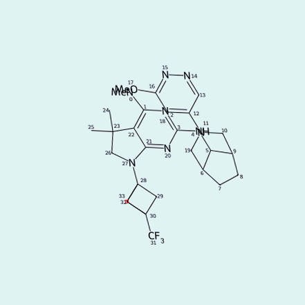 CNc1nc(NC2C3CCC2CN(c2cnnc(OC)c2)C3)nc2c1C(C)(C)CN2C12CC(C(F)(F)F)(C1)C2